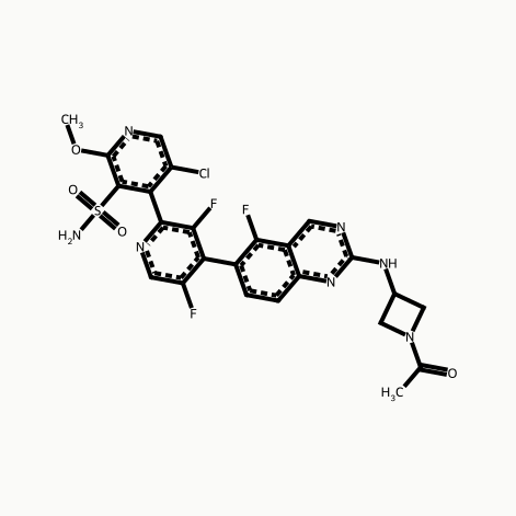 COc1ncc(Cl)c(-c2ncc(F)c(-c3ccc4nc(NC5CN(C(C)=O)C5)ncc4c3F)c2F)c1S(N)(=O)=O